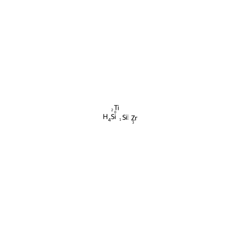 [SiH4].[Si].[Ti].[Zr]